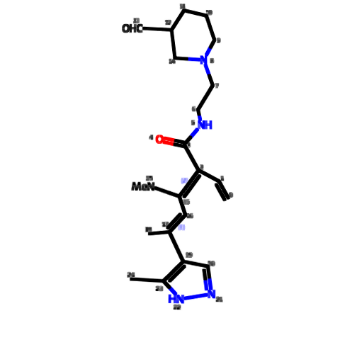 C=C/C(C(=O)NCCN1CCCC(C=O)C1)=C(\C=C(/C)c1cn[nH]c1C)NC